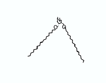 CCCCCC=CCC=CCCCCCCCCOC[C@@H]1CN(C)C[C@H]1COCCCCCCCCC=CCC=CCCCCC